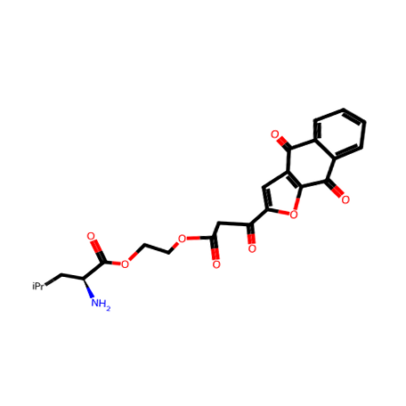 CC(C)C[C@H](N)C(=O)OCCOC(=O)CC(=O)c1cc2c(o1)C(=O)c1ccccc1C2=O